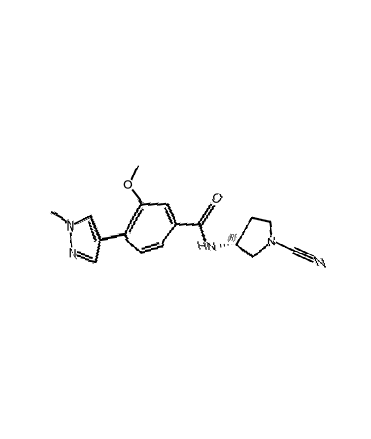 COc1cc(C(=O)N[C@@H]2CCN(C#N)C2)ccc1-c1cnn(C)c1